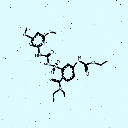 CCOC(=O)Nc1ccc(C(=O)N(CC)CC)c(S(=O)(=O)NC(=O)Nc2nc(OC)cc(OC)n2)c1